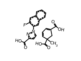 CC1(C(=O)O)C=CC=C(C(=O)O)C1.O=C(O)c1ccn(-c2cc3ccccc3cc2F)n1